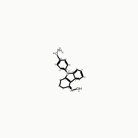 O/N=C1/CCCc2c1c1ccccc1n2-c1ccc(OP)cc1